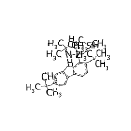 C[SiH](C)[CH2][Zr]([CH3])([NH]C(C)(C)C)[c]1c(C(C)(C)C)ccc2c1Cc1cc(C(C)(C)C)ccc1-2